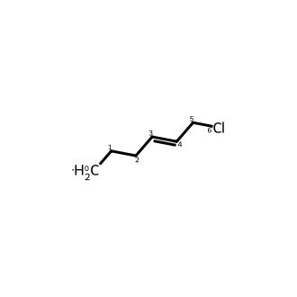 [CH2]CC/C=C/CCl